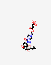 CO[C@H]1[C@H](C2(C)O[C@@H]2CC=C(C)C)[C@]2(CC[C@H]1NC(=O)N1CCN(CCOC(=O)CCC(=O)O)CC1)CO2